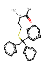 [2H]C(=O)[C@@H](C)CCSC(c1ccccc1)(c1ccccc1)c1ccccc1